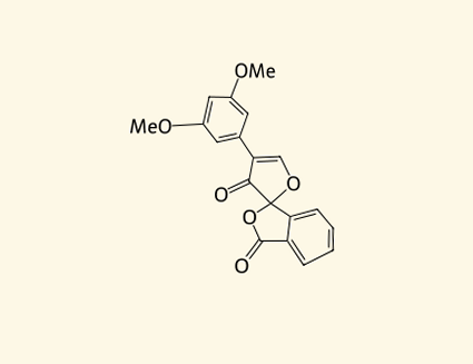 COc1cc(OC)cc(C2=COC3(OC(=O)c4ccccc43)C2=O)c1